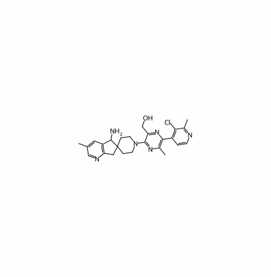 Cc1cnc2c(c1)C(N)C1(CCN(c3nc(C)c(-c4ccnc(C)c4Cl)nc3CO)CC1)C2